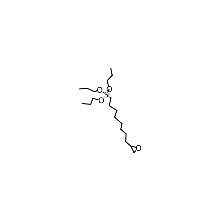 CCCO[Si](CCCCCCCCC1CO1)(OCCC)OCCC